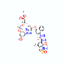 CCOC(=O)CC(C)(C)OCC(C)(C)Oc1cc(Nc2cc(Oc3ccc(NC(=O)Nc4cc(C(C)(C)C)cc(NS(C)(=O)=O)c4OC)c4ccccc34)ccn2)cc(OC)c1